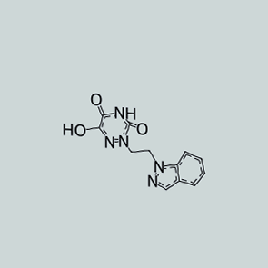 O=c1[nH]c(=O)n(CCn2ncc3ccccc32)nc1O